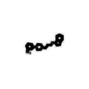 FC(F)(F)c1cccc(N2CCN(CCCOC3CCc4ccccc43)CC2)c1